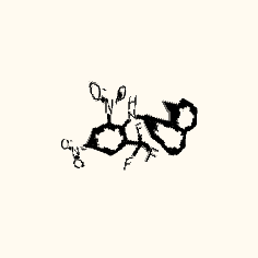 O=[N+]([O-])c1cc([N+](=O)[O-])c(Nc2cccc3ccccc23)c(C(F)(F)F)c1